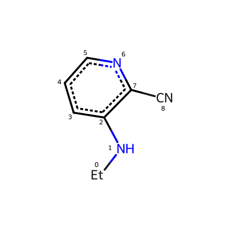 CCNc1cccnc1C#N